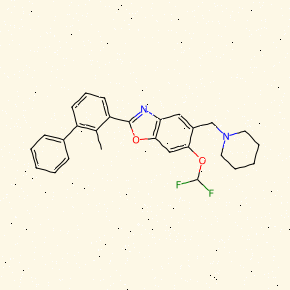 Cc1c(-c2ccccc2)cccc1-c1nc2cc(CN3CCCCC3)c(OC(F)F)cc2o1